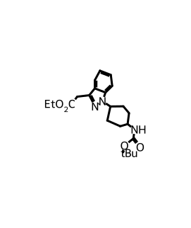 CCOC(=O)Cc1nn(C2CCC(NC(=O)OC(C)(C)C)CC2)c2ccccc12